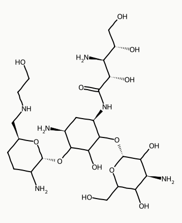 NC1CC[C@@H](CNCCO)O[C@@H]1OC1C(O)C(O[C@H]2OC(CO)C(O)[C@H](N)C2O)[C@H](NC(=O)[C@@H](O)[C@@H](N)[C@@H](O)CO)C[C@@H]1N